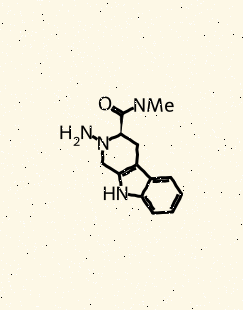 CNC(=O)[C@H]1Cc2c([nH]c3ccccc23)CN1N